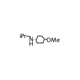 CO[C@H]1CC[C@H](NCC(C)C)CC1